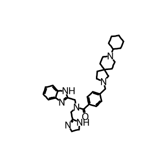 O=C(c1ccc(CN2CCC3(CCN(C4CCCCC4)CC3)C2)cc1)N(CC1=NCCN1)Cc1nc2ccccc2[nH]1